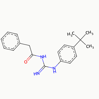 CC(C)(C)c1ccc(NC(=N)NC(=O)Cc2ccccc2)cc1